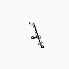 NCCCOCCOCCOCCCNC(=O)C(CCCCNC(=O)OCc1ccccc1)NC(=O)OCc1ccccc1